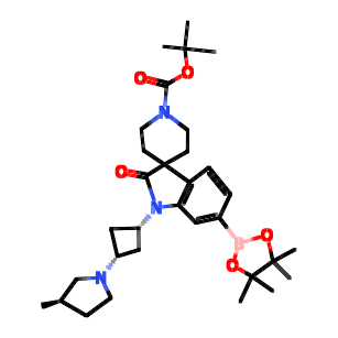 C[C@@H]1CCN([C@H]2C[C@@H](N3C(=O)C4(CCN(C(=O)OC(C)(C)C)CC4)c4ccc(B5OC(C)(C)C(C)(C)O5)cc43)C2)C1